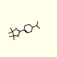 CC(C)C1CC=C(B2OC(C)(C)C(C)(C)O2)CC1